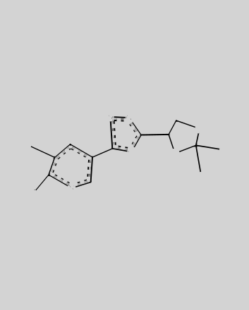 Cc1cc(-c2nnc(C3COC(C)(C)O3)o2)cnc1Cl